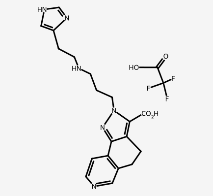 O=C(O)C(F)(F)F.O=C(O)c1c2c(nn1CCCNCCc1c[nH]cn1)-c1ccncc1CC2